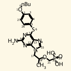 CCCCOc1ccc(Sc2nc(N)nc3c2ncn3CC(C)OCP(=O)(O)O)cc1